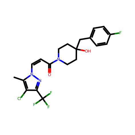 Cc1c(Cl)c(C(F)(F)F)nn1/C=C\C(=O)N1CCC(O)(Cc2ccc(F)cc2)CC1